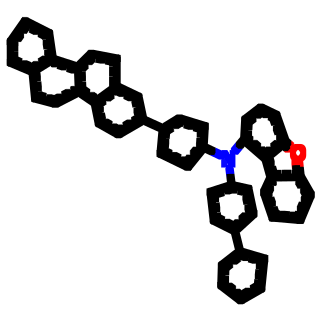 c1ccc(-c2ccc(N(c3ccc(-c4ccc5c(ccc6c7ccccc7ccc56)c4)cc3)c3cccc4oc5ccccc5c34)cc2)cc1